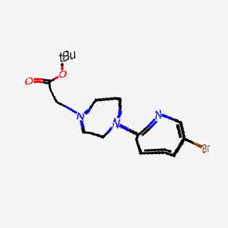 CC(C)(C)OC(=O)CN1CCN(c2ccc(Br)cn2)CC1